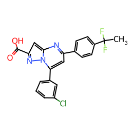 CC(F)(F)c1ccc(-c2cc(-c3cccc(Cl)c3)n3nc(C(=O)O)cc3n2)cc1